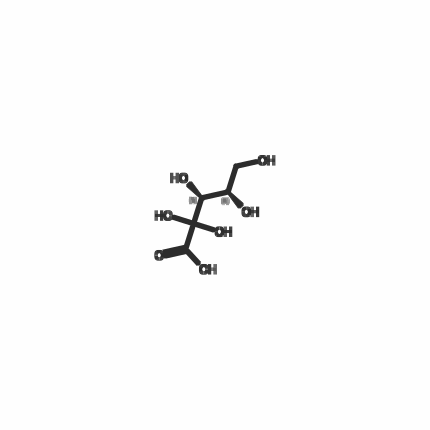 O=C(O)C(O)(O)[C@@H](O)[C@H](O)CO